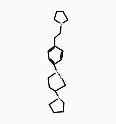 c1cc(N2CCC(N3CCCC3)CC2)ccc1CCN1CCCC1